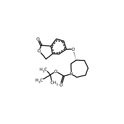 CC(C)(C)OC(=O)N1CCCC[C@@H](Oc2ccc3c(c2)COC3=O)C1